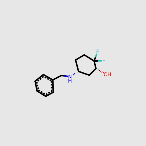 O[C@@H]1C[C@H](NCc2ccccc2)CCC1(F)F